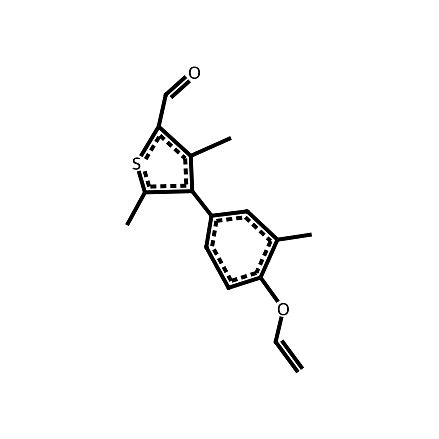 C=COc1ccc(-c2c(C)sc(C=O)c2C)cc1C